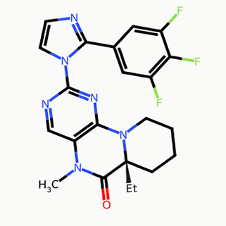 CC[C@]12CCCCN1c1nc(-n3ccnc3-c3cc(F)c(F)c(F)c3)ncc1N(C)C2=O